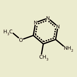 COc1nnnc(N)c1C